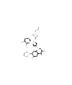 O=C(O)c1cn(-c2cnn(C3CN(CCF)C3)c2)c2cc(N3CCC[C@@H]3COc3ncccc3Cl)c(Cl)cc2c1=O